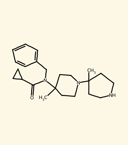 CC1(N2CCC(C)(N(Cc3ccccc3)C(=O)C3CC3)CC2)CCNCC1